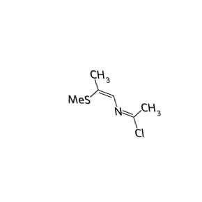 CS/C(C)=C\N=C(/C)Cl